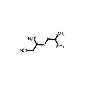 CC(N)CSC(N)CN